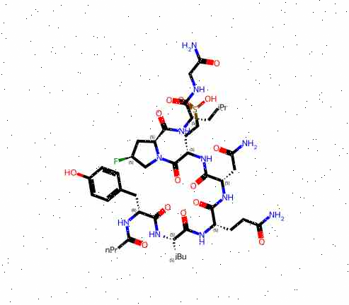 CCCC(=O)N[C@H](Cc1ccc(O)cc1)C(=O)N[C@H](C(=O)N[C@@H](CCC(N)=O)C(=O)N[C@@H](CC(N)=O)C(=O)N[C@@H](CCS(=O)O)C(=O)N1C[C@@H](F)C[C@H]1C(=O)N[C@@H](CC(C)C)C(=O)NCC(N)=O)[C@@H](C)CC